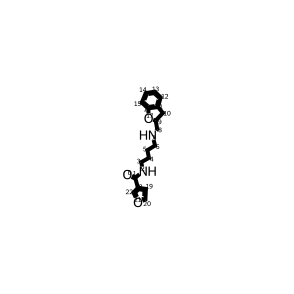 O=C(NCCCCNCC1Cc2ccccc2O1)c1ccoc1